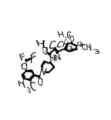 COc1ccc(C2=NN(C3CCN(C(=O)c4cc(OC(F)F)ccc4C)CC3)C(=O)C2(C)C)cc1OC